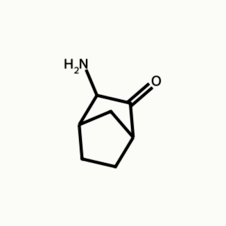 NC1C(=O)C2CCC1C2